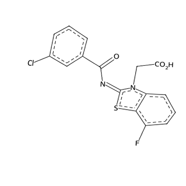 O=C(O)Cn1c(=NC(=O)c2cccc(Cl)c2)sc2c(F)cccc21